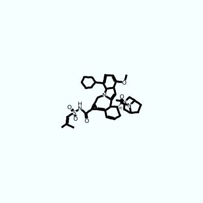 COC1=CC=C(C2CCCCC2)C2C1C=C1C3C(=C4C(=C4C(=O)NS(=O)(=O)C=C(C)C)CN12)C=CC[C@H]3C(=O)N1C2CCC1CN(C)C2